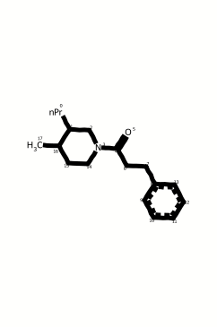 CCCC1CN(C(=O)CCc2ccccc2)CCC1C